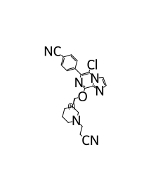 N#CCCN1CCC[C@@H](COc2nc(-c3ccc(C#N)cc3)c(Cl)n3ccnc23)C1